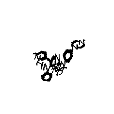 C=CC(=O)Nc1ccccc1Nc1nc(Nc2ccc(N3CCN(C)CC3)cc2)ncc1-c1ccc(C)nc1